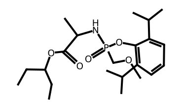 CCC(CC)OC(=O)C(C)NP(=O)(COC)Oc1c(C(C)C)cccc1C(C)C